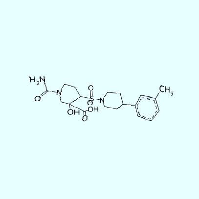 Cc1cccc(C2CCN(S(=O)(=O)C3CCN(C(N)=O)CC3(O)C(=O)O)CC2)c1